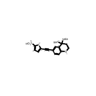 CSC1(SC)CCOc2ccc(C#Cc3ccc(C(=O)O)s3)cc21